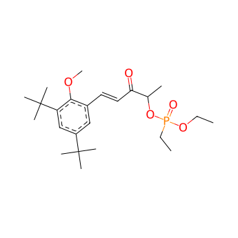 CCOP(=O)(CC)OC(C)C(=O)C=Cc1cc(C(C)(C)C)cc(C(C)(C)C)c1OC